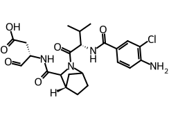 CC(C)[C@H](NC(=O)c1ccc(N)c(Cl)c1)C(=O)N1C2CC[C@@H](C2)C1C(=O)N[C@H](C=O)CC(=O)O